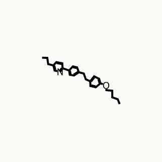 CCCCCOc1ccc(CCc2ccc(-c3ccc(CCC)cn3)cc2)cc1